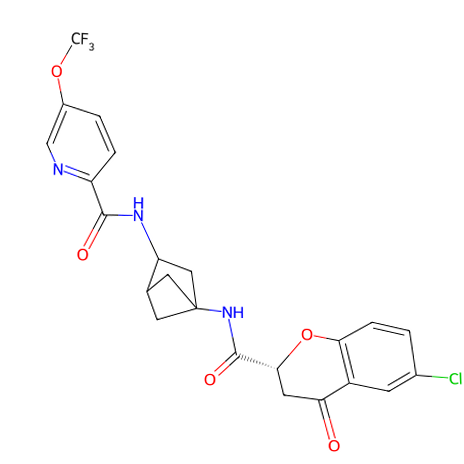 O=C(NC1CC2(NC(=O)[C@H]3CC(=O)c4cc(Cl)ccc4O3)CC1C2)c1ccc(OC(F)(F)F)cn1